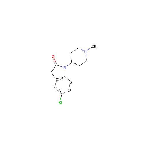 CN1CCC(N2C(=O)Cc3cc(Cl)ccc32)CC1